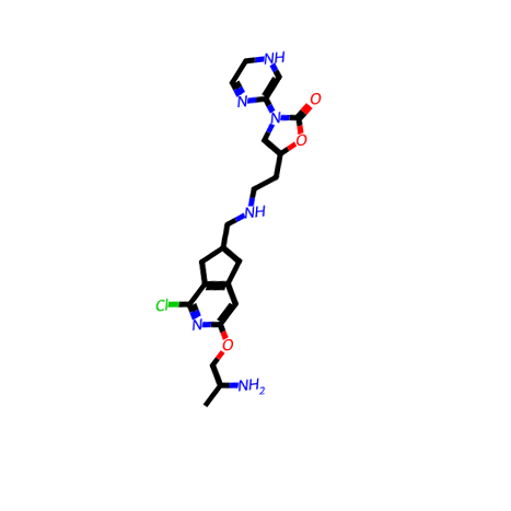 CC(N)COc1cc2c(c(Cl)n1)CC(CNCCC1CN(C3=CNCC=N3)C(=O)O1)C2